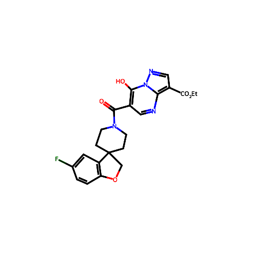 CCOC(=O)c1cnn2c(O)c(C(=O)N3CCC4(CC3)COc3ccc(F)cc34)cnc12